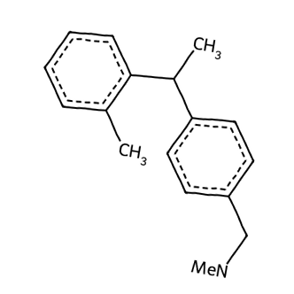 CNCc1ccc(C(C)c2ccccc2C)cc1